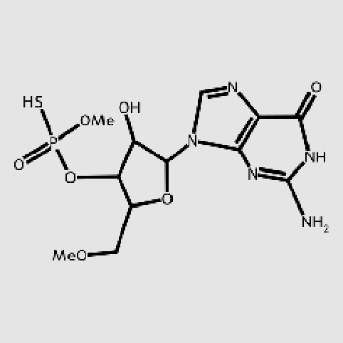 COCC1OC(n2cnc3c(=O)[nH]c(N)nc32)C(O)C1OP(=O)(S)OC